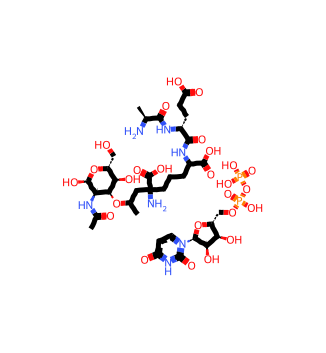 CC(=O)N[C@@H]1[C@@H](OC(C)CC(N)(CCCC(NC(=O)[C@@H](CCC(=O)O)NC(=O)[C@H](C)N)C(=O)O)C(=O)O)[C@H](O)[C@@H](CO)O[C@@H]1O.O=c1ccn([C@@H]2O[C@H](COP(=O)(O)OP(=O)(O)O)[C@@H](O)[C@H]2O)c(=O)[nH]1